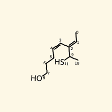 C/C=C(\C=C/CCCO)C(C)S